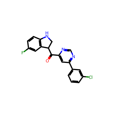 O=C(c1cc(-c2cccc(Cl)c2)ncn1)C1CNc2ccc(F)cc21